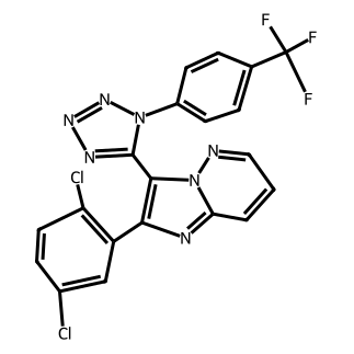 FC(F)(F)c1ccc(-n2nnnc2-c2c(-c3cc(Cl)ccc3Cl)nc3cccnn23)cc1